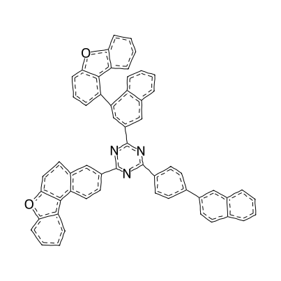 c1ccc2cc(-c3ccc(-c4nc(-c5cc(-c6cccc7oc8ccccc8c67)c6ccccc6c5)nc(-c5ccc6c(ccc7oc8ccccc8c76)c5)n4)cc3)ccc2c1